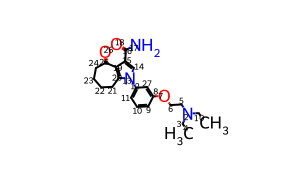 CCN(CC)CCOc1cccc(-n2cc(C(N)=O)c3c2CCCCC3=O)c1